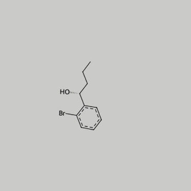 CCC[C@@H](O)c1ccccc1Br